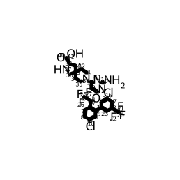 Nc1nc(O[C@H](c2ccc(Cl)cc2-c2cc(Cl)cc(C(F)(F)F)c2)C(F)(F)F)cc(N2CCC3(CC2)CNC(C(=O)O)C3)n1